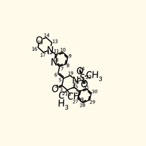 CC1(C)C(=O)C(=Cc2cccc(N3CCOCC3)n2)CN(S(C)(=O)=O)C1c1ccccc1